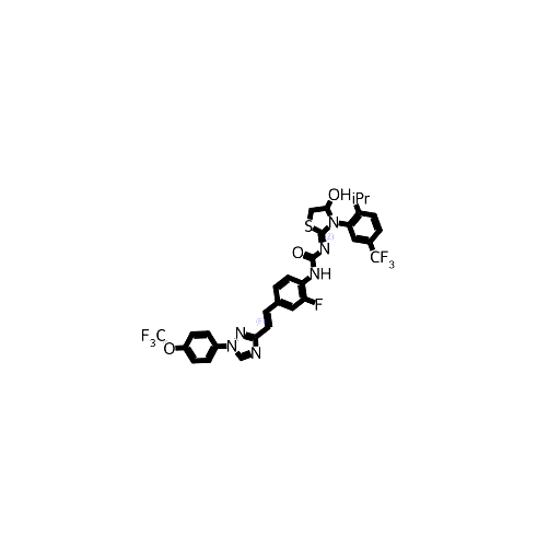 CC(C)c1ccc(C(F)(F)F)cc1N1/C(=N/C(=O)Nc2ccc(/C=C/c3ncn(-c4ccc(OC(F)(F)F)cc4)n3)cc2F)SCC1O